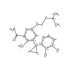 Cc1c(C(N)=O)cc(OCCN(C)C)cc1C1(c2cccc(Cl)c2Cl)CC1